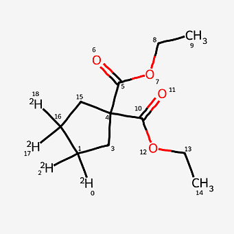 [2H]C1([2H])CC(C(=O)OCC)(C(=O)OCC)CC1([2H])[2H]